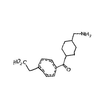 NCC1CCC(C(=O)c2ccc(CC(=O)O)cc2)CC1